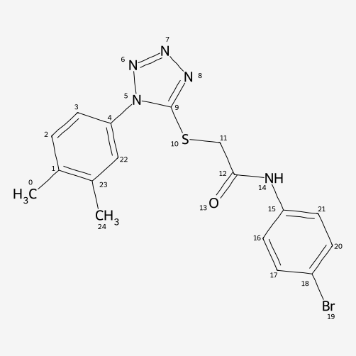 Cc1ccc(-n2nnnc2SCC(=O)Nc2ccc(Br)cc2)cc1C